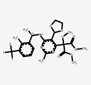 COC(=O)C(OC)(C(=O)OC)c1nc(C)nc(N[C@H](C)c2cccc(C(F)(F)F)c2C)c1C1OCCO1